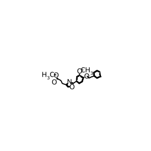 COC(=O)CCc1coc(-c2ccc(OCc3ccccc3)c(OC)c2)n1